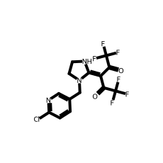 O=C(C(C(=O)C(F)(F)F)=C1NCCN1Cc1ccc(Cl)nc1)C(F)(F)F